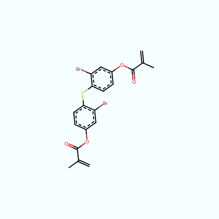 C=C(C)C(=O)Oc1ccc(Sc2ccc(OC(=O)C(=C)C)cc2Br)c(Br)c1